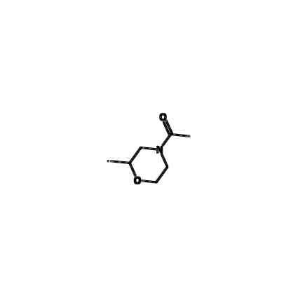 [CH2]C1CN(C(C)=O)CCO1